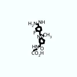 Cn1c(-c2ccc(C(=N)N)cc2F)nc2cc(C(=O)NCCC(=O)O)ccc21